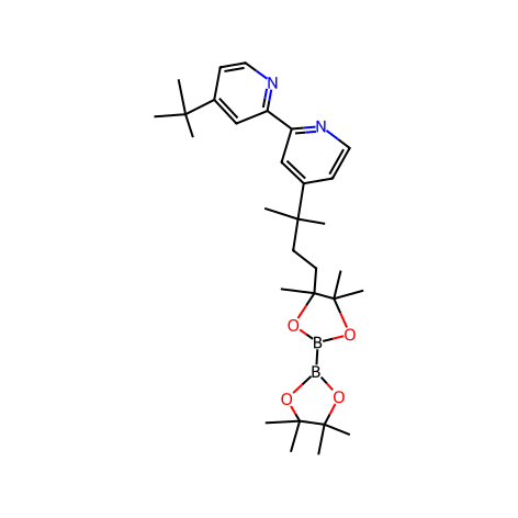 CC(C)(C)c1ccnc(-c2cc(C(C)(C)CCC3(C)OB(B4OC(C)(C)C(C)(C)O4)OC3(C)C)ccn2)c1